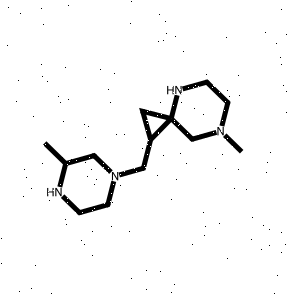 CC1CN(CC2CC23CN(C)CCN3)CCN1